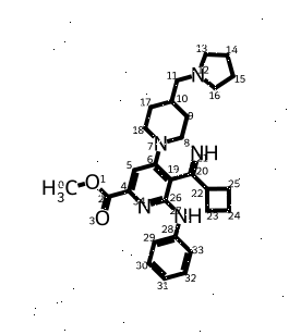 COC(=O)c1cc(N2CCC(CN3CCCC3)CC2)c(C(=N)C2CCC2)c(Nc2ccccc2)n1